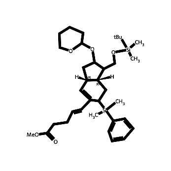 COC(=O)CCC=CC1=C[C@@H]2CC(OC3CCCCO3)C(CO[Si](C)(C)C(C)(C)C)[C@@H]2CC1[Si](C)(C)c1ccccc1